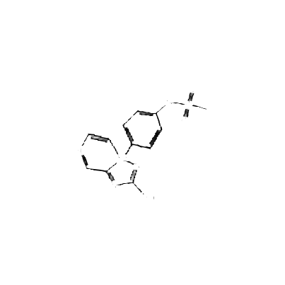 CS(=O)(=O)Nc1ccc([N+]23C=CN=CC2=NC(N)=N3)cc1